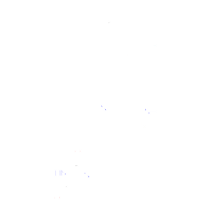 CN1CC(C(NS(=O)(=O)CCCCCN2CC(=O)NC2=O)c2ccc(F)c(OCC3CC3)c2)C1